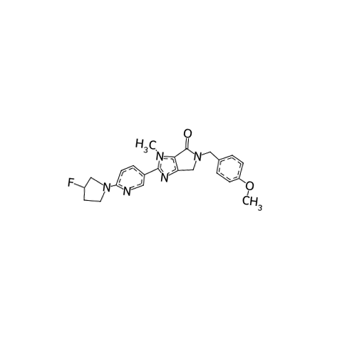 COc1ccc(CN2Cc3nc(-c4ccc(N5CCC(F)C5)nc4)n(C)c3C2=O)cc1